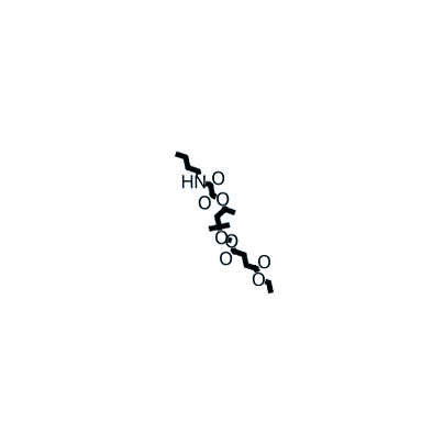 CCCCNC(=O)C(=O)OC(C)CC(C)(C)OOC(=O)CCC(=O)OCC